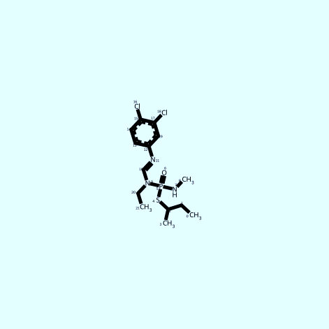 CCC(C)SP(=O)(NC)N(C=Nc1ccc(Cl)c(Cl)c1)CC